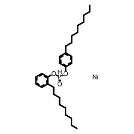 CCCCCCCCCc1ccc(O[PH](=O)Oc2ccccc2CCCCCCCCC)cc1.[Ni]